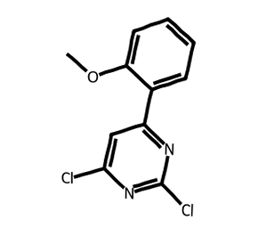 COc1ccccc1-c1cc(Cl)nc(Cl)n1